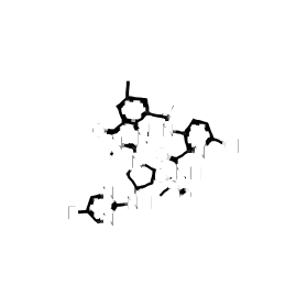 Cc1cc([C@@H](C)Nc2ccc(Cl)nc2C(=O)NS(C)(=O)=O)c2nc(N3CC[C@H](Nc4ncc(F)cn4)C3)n(C)c(=O)c2c1